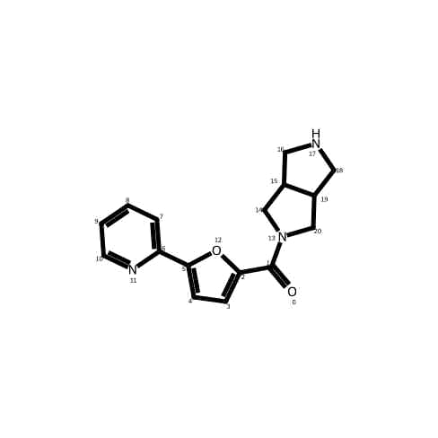 O=C(c1ccc(-c2ccccn2)o1)N1CC2CNCC2C1